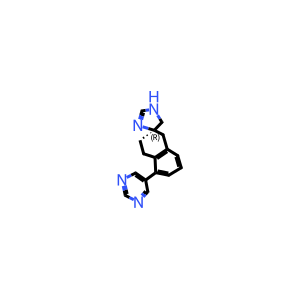 C1=N[C@@]2(CCc3c(cccc3-c3cncnc3)C2)CN1